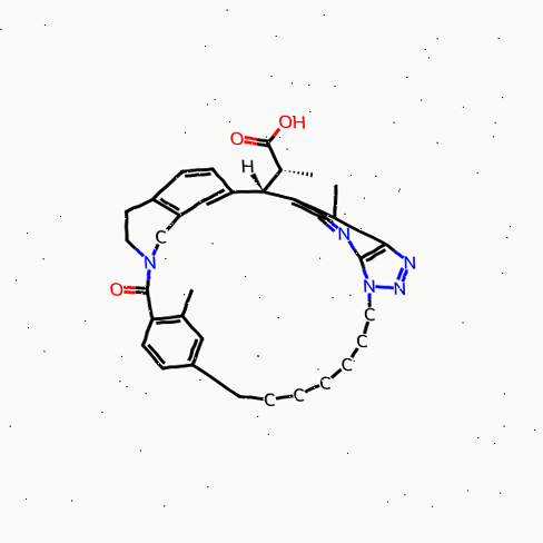 Cc1cc2ccc1C(=O)N1CCc3ccc(cc3C1)[C@H]([C@@H](C)C(=O)O)c1cnc3c(nnn3CCCCCCC2)c1C